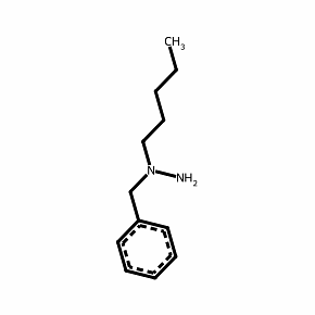 CCCCCN(N)Cc1ccccc1